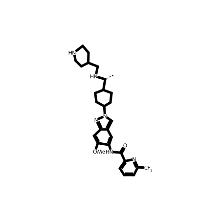 COc1cc2nn(C3CCC([C@@H](C)NCC4CCNCC4)CC3)cc2cc1NC(=O)c1cccc(C(F)(F)F)n1